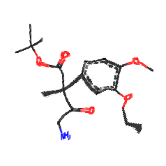 CCOc1cc(C(C)(C(=O)CN)C(=O)OC(C)(C)C)ccc1OC